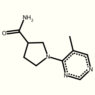 Cc1cncnc1N1CCC(C(N)=O)C1